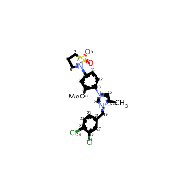 COc1cc(N2CCCS2(=O)=O)ccc1-n1cc(C)[n+](Cc2ccc(Cl)c(Cl)c2)c1